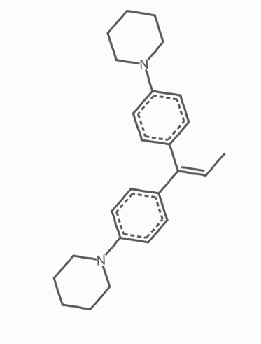 CC=C(c1ccc(N2CCCCC2)cc1)c1ccc(N2CCCCC2)cc1